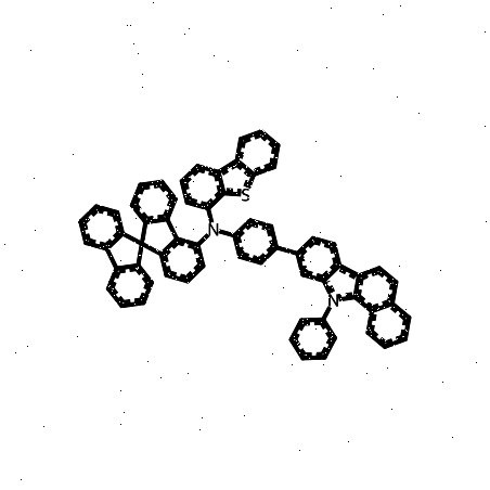 c1ccc(-n2c3cc(-c4ccc(N(c5cccc6c5-c5ccccc5C65c6ccccc6-c6ccccc65)c5cccc6c5sc5ccccc56)cc4)ccc3c3ccc4ccccc4c32)cc1